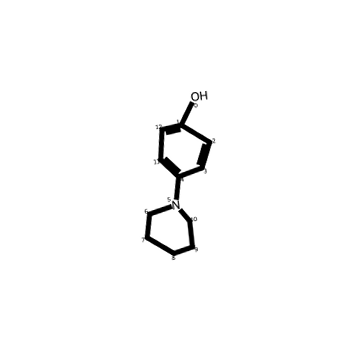 Oc1[c]cc(N2CCCCC2)cc1